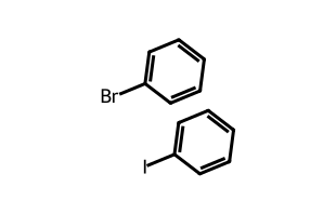 Brc1ccccc1.Ic1ccccc1